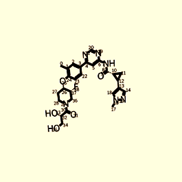 Cc1cc(-c2cc(NC(=O)[C@@H]3C[C@H]3c3cnn(C)c3)ncn2)ccc1O[C@H]1CCN(C(=O)[C@@H](O)CO)C[C@H]1F